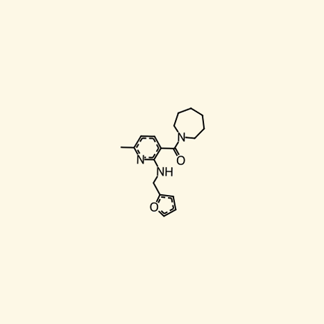 Cc1ccc(C(=O)N2CCCCCC2)c(NCc2ccco2)n1